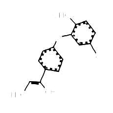 C/C=C(\C)c1ccc(Oc2cc(Cl)ccc2C=O)cc1